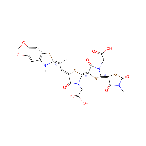 C/C(C=c1s/c(=c2/s/c(=C3/SC(=O)N(C)C3=O)n(CC(=O)O)c2=O)n(CC(=O)O)c1=O)=C1\Sc2cc3c(cc2N1C)OCO3